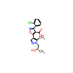 Cc1c(-c2onc(-c3ccccc3Cl)c2C(=O)O)cnn1C[C@H](C)O